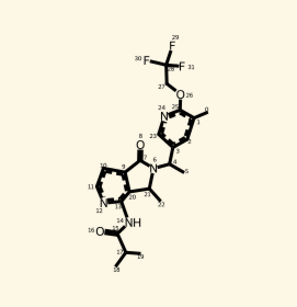 Cc1cc(C(C)N2C(=O)c3ccnc(NC(=O)C(C)C)c3C2C)cnc1OCC(F)(F)F